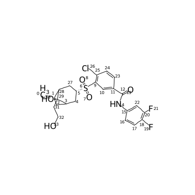 C[C@H]1CC2C[C@@H](S(=O)(=O)c3cc(C(=O)Nc4ccc(F)c(F)c4)ccc3Cl)CC1[C@@]2(O)CCO